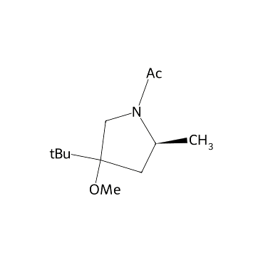 COC1(C(C)(C)C)C[C@H](C)N(C(C)=O)C1